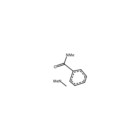 CNC.CNC(=O)c1ccccc1